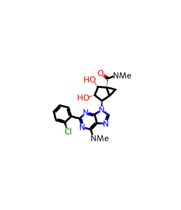 CNC(=O)[C@]12CC1[C@@H](n1cnc3c(NC)nc(-c4ccccc4Cl)nc31)[C@H](O)[C@@H]2O